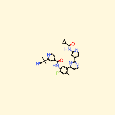 Cc1cc(F)c(NC(=O)c2ccnc(C(C)(C)C#N)c2)cc1-c1ccnc(-c2ccnc(NC(=O)C3CC3)c2)n1